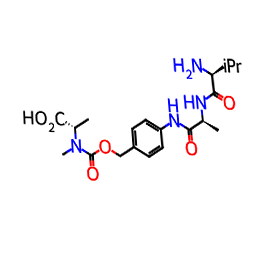 CC(C)[C@H](N)C(=O)N[C@@H](C)C(=O)Nc1ccc(COC(=O)N(C)[C@@H](C)C(=O)O)cc1